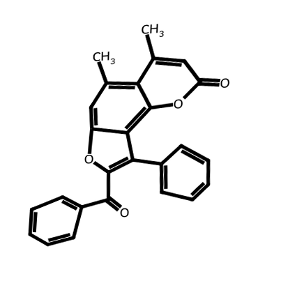 Cc1cc(=O)oc2c1c(C)cc1oc(C(=O)c3ccccc3)c(-c3ccccc3)c12